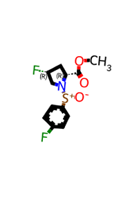 COC(=O)[C@H]1C[C@@H](F)CN1[S+]([O-])c1ccc(F)cc1